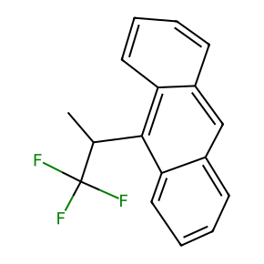 CC(c1c2ccccc2cc2ccccc12)C(F)(F)F